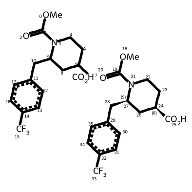 COC(=O)N1CCC(C(=O)O)CC1Cc1ccc(C(F)(F)F)cc1.COC(=O)N1CC[C@@H](C(=O)O)C[C@H]1Cc1ccc(C(F)(F)F)cc1